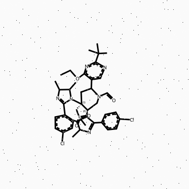 CCOc1nc(C(C)(C)C)ncc1C1C[C@](CS(C)(=O)=O)(N2C(c3ccc(Cl)cc3)=NC(C)C2C)[C@H](N2C(c3ccc(Cl)cc3)=NC(C)C2C)CN1C=O